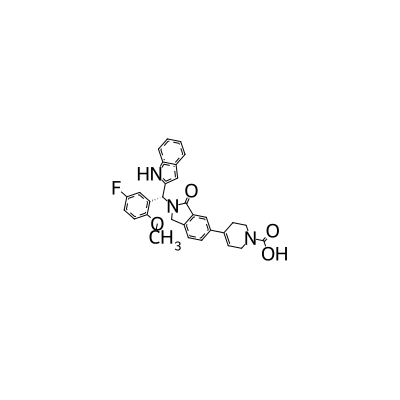 COc1ccc(F)cc1[C@H](c1cc2ccccc2[nH]1)N1Cc2ccc(C3=CCN(C(=O)O)CC3)cc2C1=O